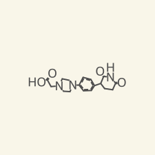 O=C(O)CN1CCN(c2ccc(C3CCC(=O)NC3=O)cc2)CC1